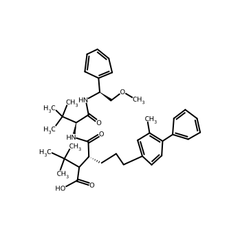 COC[C@@H](NC(=O)[C@@H](NC(=O)[C@H](CCCc1ccc(-c2ccccc2)c(C)c1)C(C(=O)O)C(C)(C)C)C(C)(C)C)c1ccccc1